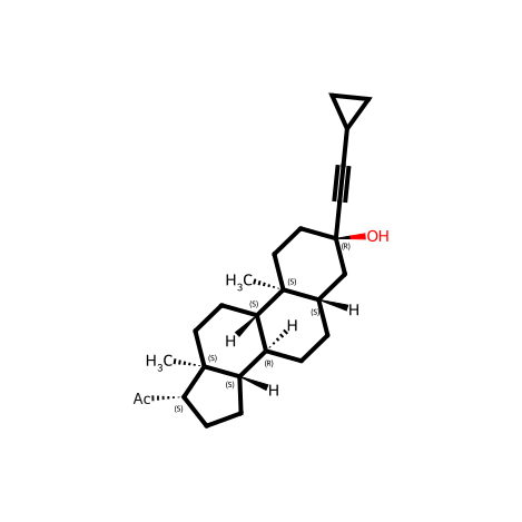 CC(=O)[C@H]1CC[C@H]2[C@@H]3CC[C@H]4C[C@@](O)(C#CC5CC5)CC[C@]4(C)[C@H]3CC[C@]12C